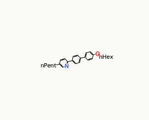 CCCCCCOc1ccc(-c2ccc(-c3ccc(CCCCC)cn3)cc2)cc1